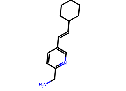 NCc1ccc(/C=C/C2CCCCC2)cn1